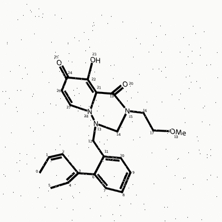 C/C=C\C(=C/C)c1ccccc1CN1CN(CCOC)C(=O)c2c(O)c(=O)ccn21